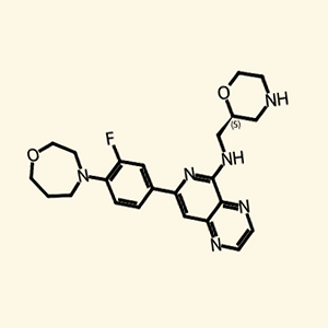 Fc1cc(-c2cc3nccnc3c(NC[C@@H]3CNCCO3)n2)ccc1N1CCCOCC1